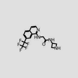 O=C(CNc1nccc2ccc(C(F)(F)C(F)(F)F)cc12)NC1CNC1